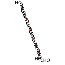 O=CCCC(O)COCCOCCOCCOCCOCCOCCOCCOCCOCCOCCOCCOCCOCCOCCOCCOCCOCCOCCOCCOCCOCCOCCOCCOCCOCCOCCO